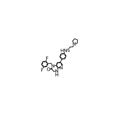 O=C1CNc2ncc(-c3ccc(NSCCN4CCCC4)cc3)cc2N1Cc1cc(F)ccc1F